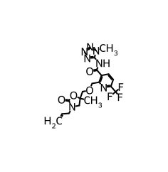 C=CCN1CC(C)(COCc2nc(C(F)(F)F)ccc2C(=O)Nc2nnnn2C)OC1=O